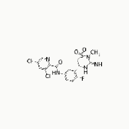 CN1C(=N)N[C@H](c2cc(NC(=O)c3ncc(Cl)cc3Cl)ccc2F)CS1(=O)=O